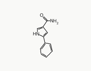 NC(=O)c1c[nH]c(-c2ccccc2)c1